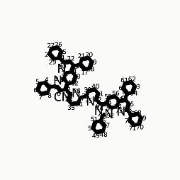 N#Cc1c(-c2ccccc2)nc2c(ccc3c(-c4ccccc4)cc(-c4ccccc4)nc32)c1-c1cccc(-c2cccc(-c3nc(-c4ccccc4)nc4c3ccc3c(-c5ccccc5)cc(-c5ccccc5)nc34)n2)n1